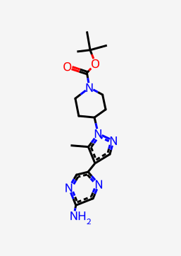 Cc1c(-c2cnc(N)cn2)cnn1C1CCN(C(=O)OC(C)(C)C)CC1